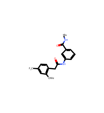 COc1cc(C(F)(F)F)ccc1CC(=O)Nc1cccc(C(=O)NC(C)(C)C)c1